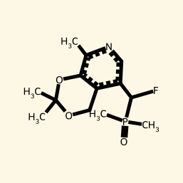 Cc1ncc(C(F)P(C)(C)=O)c2c1OC(C)(C)OC2